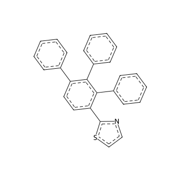 c1ccc(-c2ccc(-c3nccs3)c(-c3ccccc3)c2-c2ccccc2)cc1